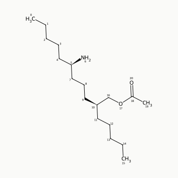 CCCCC[C@@H](N)CCC[C@H](CCCCC)COC(C)=O